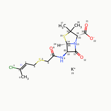 C/C(Cl)=C\CSCC(=O)N[C@@H]1C(=O)N2[C@@H]1SC(C)(C)[C@@H]2C(=O)[O-].[K+]